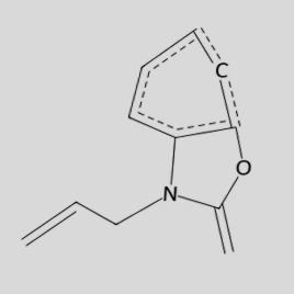 C=CCN1C(=C)Oc2ccccc21